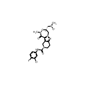 CN1O[C@H](C[S+](C)[O-])Cn2nc3c(c2C1=O)CN(C(=O)Nc1ccc(F)c(Cl)c1)CC3